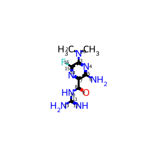 CN(C)c1nc(N)c(C(=O)NC(=N)N)nc1F